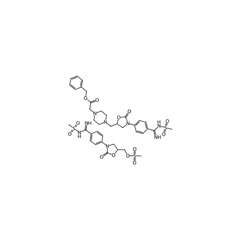 CS(=O)(=O)NC(=N)c1ccc(N2CC(CN3CCN(CC(=O)OCc4ccccc4)CC3)OC2=O)cc1.CS(=O)(=O)NC(=N)c1ccc(N2CC(COS(C)(=O)=O)OC2=O)cc1